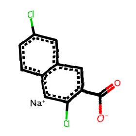 O=C([O-])c1cc2cc(Cl)ccc2cc1Cl.[Na+]